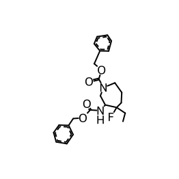 CCC1(F)CCCN(C(=O)OCc2ccccc2)CC1NC(=O)OCc1ccccc1